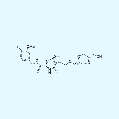 COc1cc(CNC(=O)c2nc3scc(COC[C@@H]4CO[C@@H](CO)CO4)c3c(=O)[nH]2)ccc1F